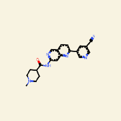 CN1CCC(C(=O)Nc2cc3nc(-c4cncc(C#N)c4)ccc3cn2)CC1